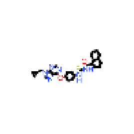 O=C(NC(=S)Nc1ccc(Oc2ncnc3c2ncn3CC2CC2)cc1)c1cccc2ccccc12